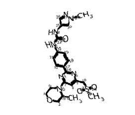 C[C@H]1COCCN1c1cc(CS(C)(=O)=O)nc(-c2ccc(NC(=O)Nc3cnn(C)c3)cc2)n1